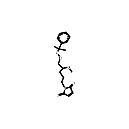 COC(CCCN1C(=O)C=CC1=O)COOC(C)(C)c1ccccc1